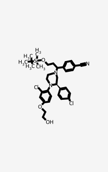 CC(C)(C)[Si](C)(C)OCCC(c1ccc(C#N)cc1)N1CCN(c2ccc(OCCO)cc2Cl)[C@H](c2ccc(Cl)cc2)C1